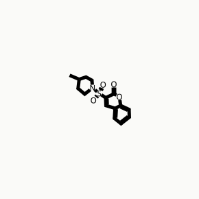 CC1CCN(S(=O)(=O)c2cc3ccccc3oc2=O)CC1